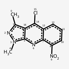 Cc1nn(C)c2nc3c([N+](=O)[O-])cccc3c(Cl)c12